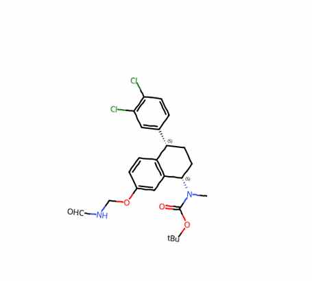 CN(C(=O)OC(C)(C)C)[C@H]1CC[C@@H](c2ccc(Cl)c(Cl)c2)c2ccc(OCNC=O)cc21